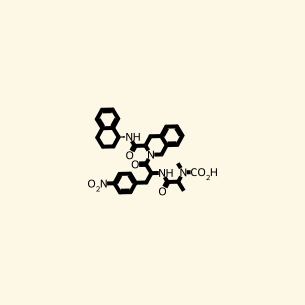 CC(C(=O)NC(Cc1ccc([N+](=O)[O-])cc1)C(=O)N1Cc2ccccc2CC1C(=O)N[C@@H]1CCCc2ccccc21)N(C)C(=O)O